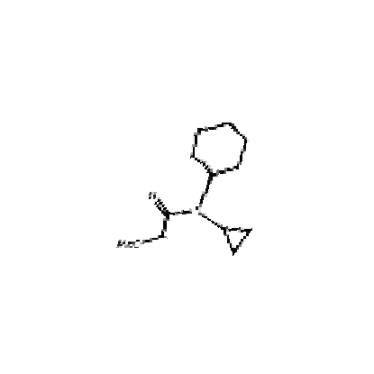 CO[CH]C(=O)N(C1CCCCC1)C1CC1